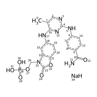 Cc1cnc(Nc2ccc(C(N)=O)cc2)nc1Nc1ccc2oc(=O)n(COP(=O)(O)O)c2c1.[NaH]